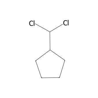 ClC(Cl)C1CCCC1